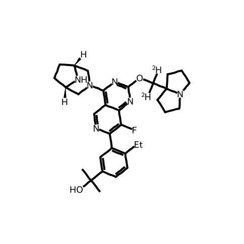 [2H]C([2H])(Oc1nc(N2C[C@H]3CC[C@@H](C2)N3)c2cnc(-c3cc(C(C)(C)O)ccc3CC)c(F)c2n1)C12CCCN1CCC2